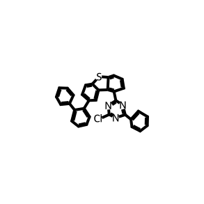 Clc1nc(-c2ccccc2)nc(-c2cccc3sc4ccc(-c5ccccc5-c5ccccc5)cc4c23)n1